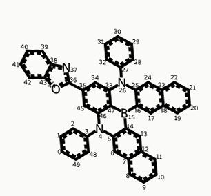 c1ccc(N2c3cc4ccccc4cc3B3c4cc5ccccc5cc4N(c4ccccc4)c4cc(-c5nc6ccccc6o5)cc2c43)cc1